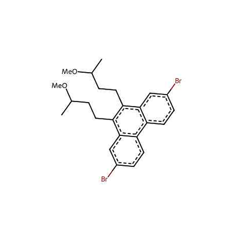 COC(C)CCc1c(CCC(C)OC)c2cc(Br)ccc2c2ccc(Br)cc12